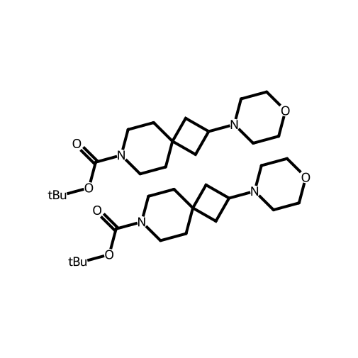 CC(C)(C)OC(=O)N1CCC2(CC1)CC(N1CCOCC1)C2.CC(C)(C)OC(=O)N1CCC2(CC1)CC(N1CCOCC1)C2